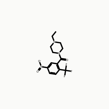 CCN1CCN(C(=O)c2cc([N+](=O)[O-])ccc2C(F)(F)F)CC1